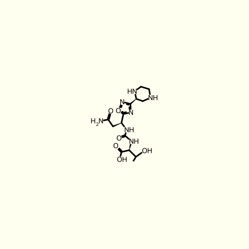 CC(O)[C@H](NC(=O)N[C@@H](CC(N)=O)c1nc([C@@H]2CNCCN2)no1)C(=O)O